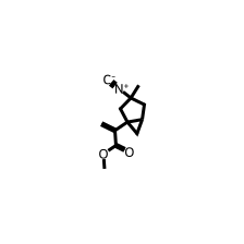 [C-]#[N+]C1(C)CC2CC2(C(=C)C(=O)OC)C1